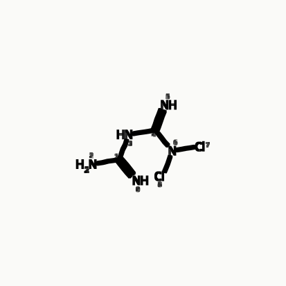 N=C(N)NC(=N)N(Cl)Cl